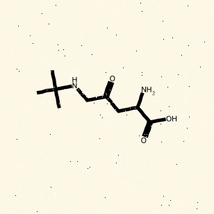 CC(C)(C)NCC(=O)CC(N)C(=O)O